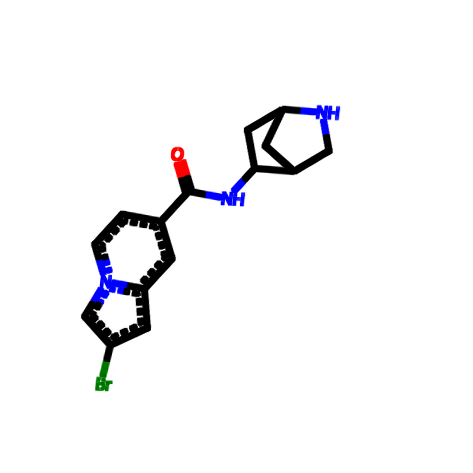 O=C(NC1CC2CC1CN2)c1ccn2cc(Br)cc2c1